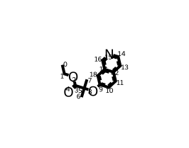 CCOC(=O)C(C)(C)Oc1ccc2ccncc2c1